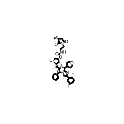 CSC1CC(=O)N(CCNC(=O)O[C@@H]2CNC[C@H]2CN(C(=O)[C@H](C)O)[C@@H](c2nc(-c3cc(F)ccc3F)cn2Cc2ccccc2)C2CCOCC2)C1=O